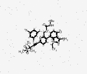 CC(C)(C)NC(=O)O[C@@H](Cc1cc(F)cc(F)c1)c1nc(C#CC(C)(C)S(C)(=O)=O)ccc1-c1ccc(Cl)c2c(N)nn(CC(F)(F)F)c12